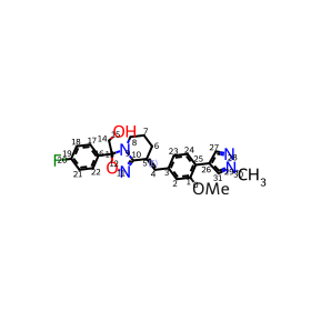 COc1cc(/C=C2\CCCN3C2=NOC3(CO)c2ccc(F)cc2)ccc1-c1cnn(C)c1